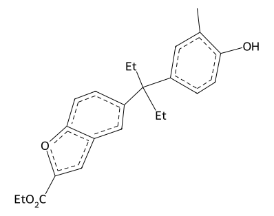 CCOC(=O)c1cc2cc(C(CC)(CC)c3ccc(O)c(C)c3)ccc2o1